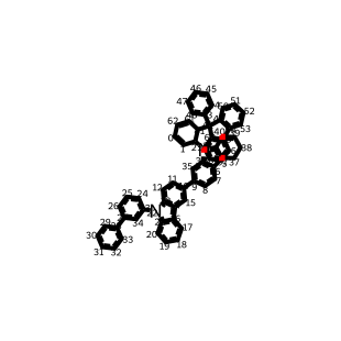 C1=CC(n2c3c(c4ccc(-c5ccc6c(c5)c5ccccc5n6-c5cccc(-c6ccccc6)c5)cc42)CCC=C3)C(C2(c3ccccc3)c3ccccc3-c3ccccc32)C=C1